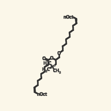 CCCCCCCC/C=C\CCCCCCCCOCC(C[N+](C)(C)C)OC(=O)CCCCCCC/C=C\CCCCCCCC